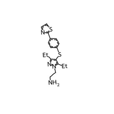 CCc1nn(CCN)c(CC)c1Sc1ccc(-c2nccs2)cc1